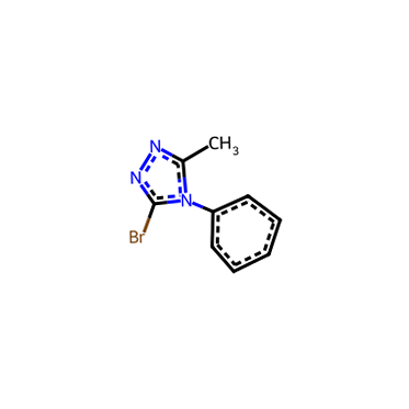 Cc1nnc(Br)n1-c1ccccc1